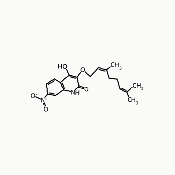 CC(C)=CCCC(C)=CCOc1c(O)c2ccc([N+](=O)[O-])cc2[nH]c1=O